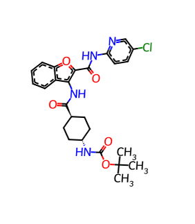 CC(C)(C)OC(=O)N[C@H]1CC[C@H](C(=O)Nc2c(C(=O)Nc3ccc(Cl)cn3)oc3ccccc23)CC1